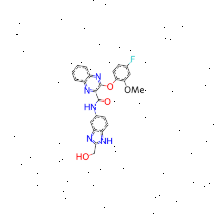 COc1cc(F)ccc1Oc1nc2ccccc2nc1C(=O)Nc1ccc2[nH]c(CO)nc2c1